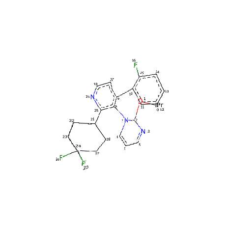 CC(C)OC1N=CC=CN1c1c(-c2ccccc2F)ccnc1C1CCC(F)(F)CC1